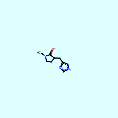 CN1CCC(Cc2cnc[nH]2)C1=O